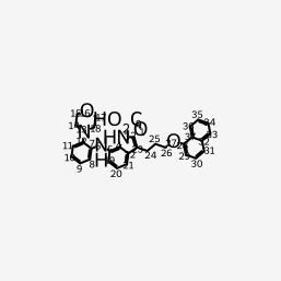 O=C(O)Oc1[nH]c2c(Nc3ccccc3N3CCOCC3)cccc2c1CCCOc1cccc2ccccc12